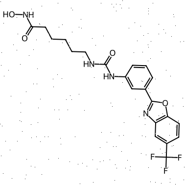 O=C(CCCCCNC(=O)Nc1cccc(-c2nc3cc(C(F)(F)F)ccc3o2)c1)NO